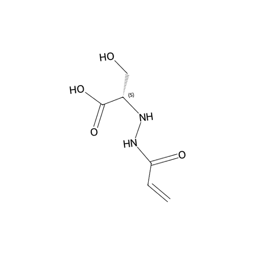 C=CC(=O)NN[C@@H](CO)C(=O)O